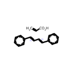 C(/C=C/c1ccccc1)=C\c1ccccc1.C=CC(=O)O